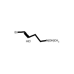 CCC=CCCN(C)O.Cl